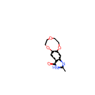 Cc1nc2cc3c(cc2c(=O)[nH]1)OCCOCCO3